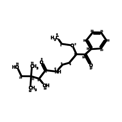 CCOC(CCNC(=O)C(O)C(C)(C)CO)C(=O)c1ccccc1